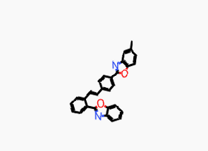 Cc1ccc2oc(-c3ccc(C=Cc4ccccc4-c4nc5ccccc5o4)cc3)nc2c1